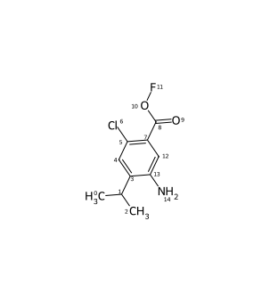 CC(C)c1cc(Cl)c(C(=O)OF)cc1N